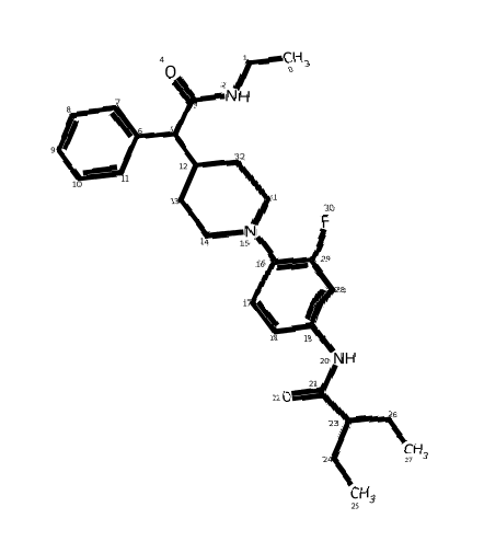 CCNC(=O)C(c1ccccc1)C1CCN(c2ccc(NC(=O)C(CC)CC)cc2F)CC1